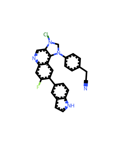 N#CCc1ccc(N2CN(Cl)c3cnc4cc(F)c(-c5ccc6[nH]ccc6c5)cc4c32)cc1